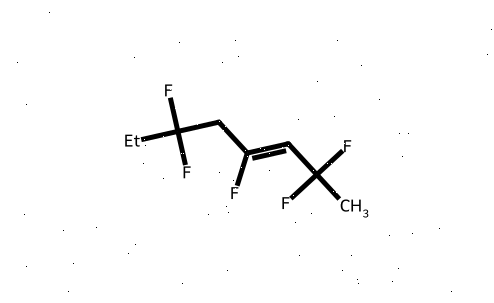 CCC(F)(F)C/C(F)=C/C(C)(F)F